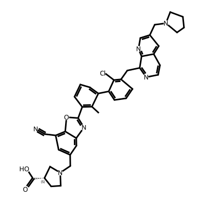 Cc1c(-c2nc3cc(CN4CC[C@H](C(=O)O)C4)cc(C#N)c3o2)cccc1-c1cccc(Cc2nccc3cc(CN4CCCC4)cnc23)c1Cl